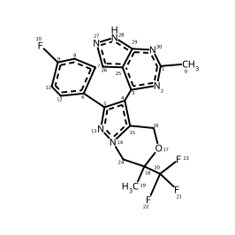 Cc1nc(-c2c(-c3ccc(F)cc3)nn3c2COC(C)(C(F)(F)F)C3)c2cn[nH]c2n1